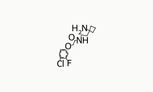 NC1(CCNC(=O)COc2ccc(Cl)c(F)c2)CCC1